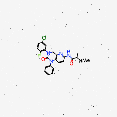 CNC(C)C(=O)Nc1ccc2c(n1)CN(c1cc(Cl)ccc1F)C(=O)N2c1ccccc1